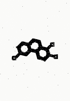 Clc1[c]cc2ccc3c(Cl)c(Cl)[c]cc3c2c1